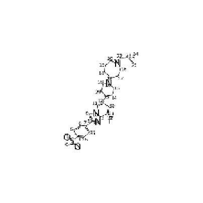 CS(=O)(=O)c1ccc(-c2cn3cc(C4CCN(C5CCCN(CC6CC6)CC5)CC4)cc(F)c3n2)cc1